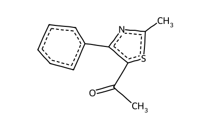 CC(=O)c1sc(C)nc1-c1ccccc1